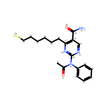 CC(=O)N(c1ccccc1)c1ncc(C(N)=O)c(CCCCCCS)n1